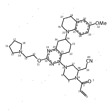 C=CC(=O)N1CCN(c2nc(OCCN3CCCC3)nc3c2CCC(N2CCCc4cc(OC)ccc42)C3)CC1CC#N